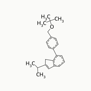 CC(C)C1=Cc2cccc(-c3ccc(COC(C)(C)C)cc3)c2C1